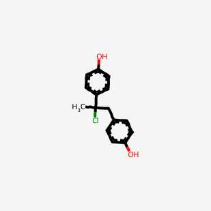 CC(Cl)(Cc1ccc(O)cc1)c1ccc(O)cc1